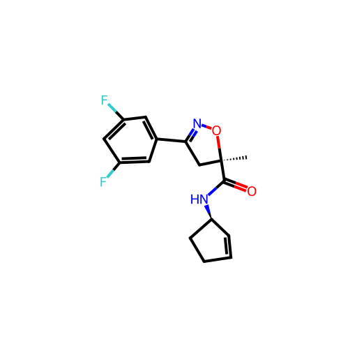 C[C@]1(C(=O)N[C@H]2C=CCC2)CC(c2cc(F)cc(F)c2)=NO1